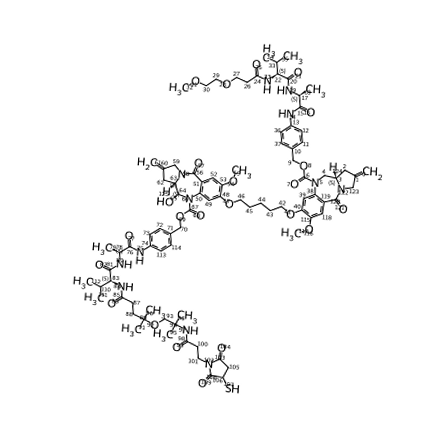 C=C1C[C@H]2CN(C(=O)OCc3ccc(NC(=O)[C@H](C)NC(=O)[C@@H](NC(=O)CCOCCOC)C(C)C)cc3)c3cc(OCCCCCOc4cc5c(cc4OC)C(=O)N4CC(=C)C[C@H]4[C@H](O)N5C(=O)OCc4ccc(NC(=O)[C@H](C)NC(=O)[C@@H](NC(=O)CCC(C)(C)OCC(C)(C)NC(=O)CCN5C(=O)CC(S)C5=O)C(C)C)cc4)c(OC)cc3C(=O)N2C1